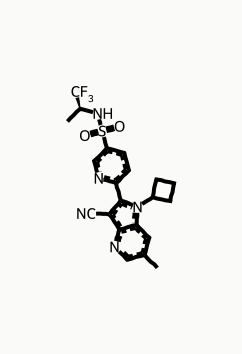 Cc1cnc2c(C#N)c(-c3ccc(S(=O)(=O)N[C@@H](C)C(F)(F)F)cn3)n(C3CCC3)c2c1